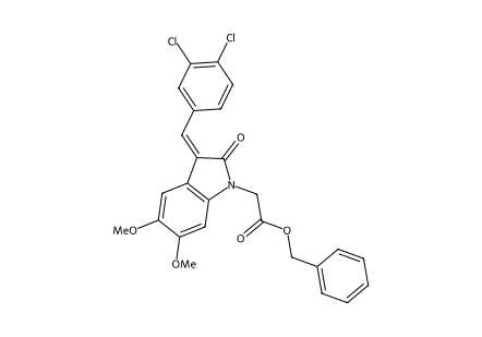 COc1cc2c(cc1OC)N(CC(=O)OCc1ccccc1)C(=O)/C2=C\c1ccc(Cl)c(Cl)c1